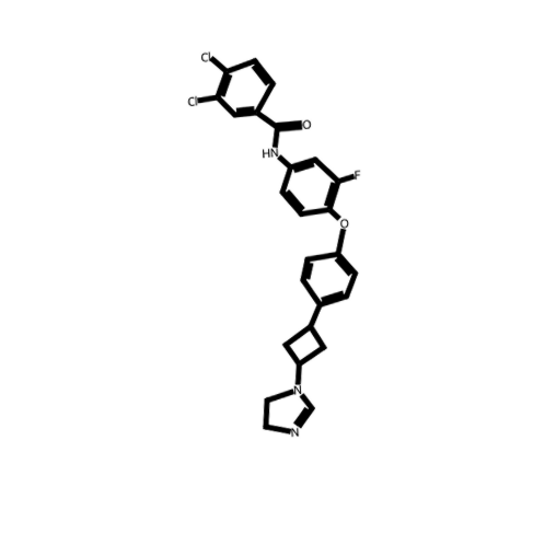 O=C(Nc1ccc(Oc2ccc(C3CC(N4C=NCC4)C3)cc2)c(F)c1)c1ccc(Cl)c(Cl)c1